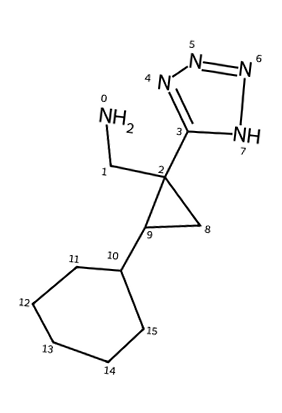 NCC1(c2nnn[nH]2)CC1C1CCCCC1